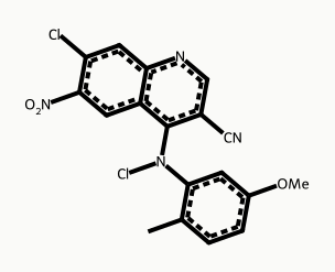 COc1ccc(C)c(N(Cl)c2c(C#N)cnc3cc(Cl)c([N+](=O)[O-])cc23)c1